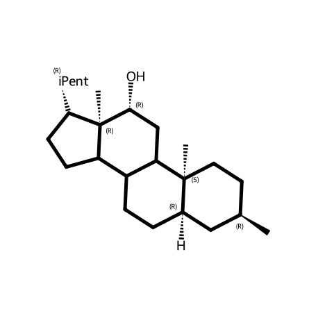 CCC[C@@H](C)C1CCC2C3CC[C@@H]4C[C@H](C)CC[C@]4(C)C3C[C@@H](O)[C@@]21C